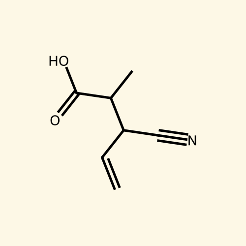 C=CC(C#N)C(C)C(=O)O